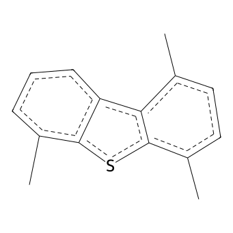 Cc1cccc2c1sc1c(C)ccc(C)c12